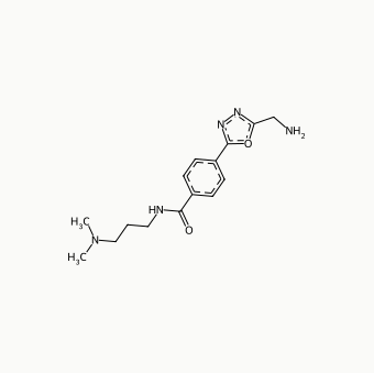 CN(C)CCCNC(=O)c1ccc(-c2nnc(CN)o2)cc1